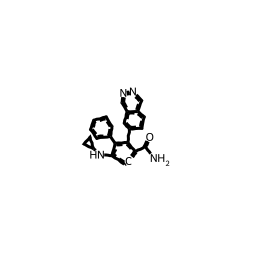 NC(=O)c1ccc(NC2CC2)c(-c2ccccc2)c1-c1ccc2cnncc2c1